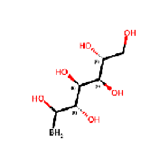 BC(O)[C@@H](O)[C@@H](O)[C@H](O)[C@H](O)CO